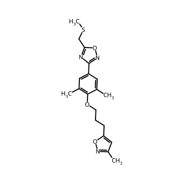 CSCc1nc(-c2cc(C)c(OCCCc3cc(C)no3)c(C)c2)no1